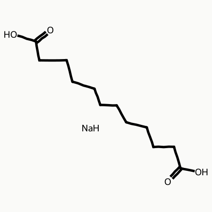 O=C(O)CCCCCCCCCCC(=O)O.[NaH]